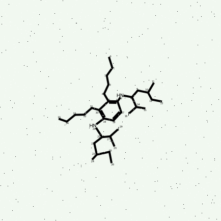 CCCCCc1c(NC(CC(C)CC)C(C)I)ccc(NC(CC(C)CC)C(C)I)c1CCCCC